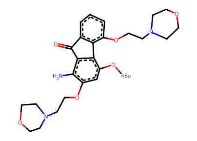 CCCCOc1cc(OCCN2CCOCC2)c(N)c2c1-c1c(OCCN3CCOCC3)cccc1C2=O